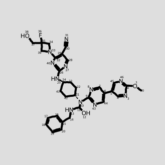 COc1ncc(-c2cnc(N(C(O)NCc3ccccc3)[C@H]3CC[C@H](Nc4ncc(C#N)c(N5CC(F)(CO)C5)n4)CC3)nc2)cn1